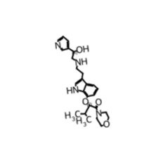 CC(C)[C@@H](Oc1cccc2c(CCNC[C@H](O)c3cccnc3)c[nH]c12)C(=O)N1CCOCC1